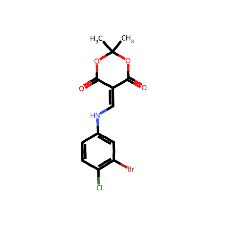 CC1(C)OC(=O)C(=CNc2ccc(Cl)c(Br)c2)C(=O)O1